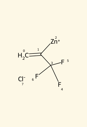 C=[C]([Zn+])C(F)(F)F.[Cl-]